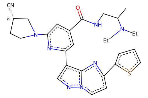 CCN(CC)C(C)CNC(=O)c1cc(-c2cnn3ccc(-c4cccs4)nc23)nc(N2CC[C@H](C#N)C2)c1